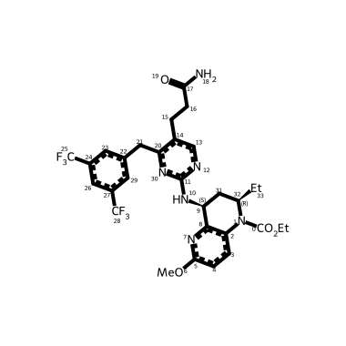 CCOC(=O)N1c2ccc(OC)nc2[C@@H](Nc2ncc(CCC(N)=O)c(Cc3cc(C(F)(F)F)cc(C(F)(F)F)c3)n2)C[C@H]1CC